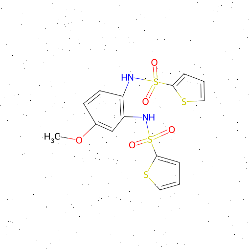 COc1ccc(NS(=O)(=O)c2cccs2)c(NS(=O)(=O)c2cccs2)c1